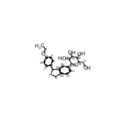 CCOc1ccc(C2CCc3ccc([C@@H]4O[C@H](CO)[C@@H](O)[C@H](O)[C@H]4O)cc32)cc1